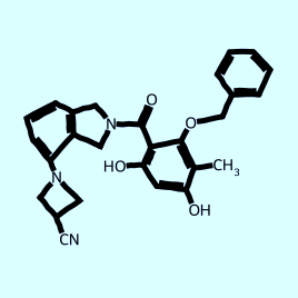 Cc1c(O)cc(O)c(C(=O)N2Cc3cccc(N4CC(C#N)C4)c3C2)c1OCc1ccccc1